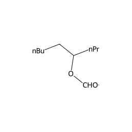 CCCCCC(CCC)O[C]=O